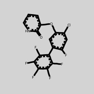 O=c1[nH]cccc1Oc1cc(-c2c(F)c(F)c(F)c(F)c2F)c(F)cc1Cl